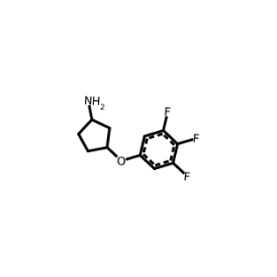 NC1CCC(Oc2cc(F)c(F)c(F)c2)C1